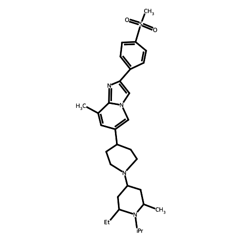 CCC1CC(N2CCC(c3cc(C)c4nc(-c5ccc(S(C)(=O)=O)cc5)cn4c3)CC2)CC(C)N1C(C)C